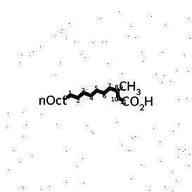 CCCCCCCCCCCCCCCC(C)CC(=O)O